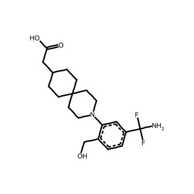 NC(F)(F)c1ccc(CO)c(N2CCC3(CCC(CC(=O)O)CC3)CC2)c1